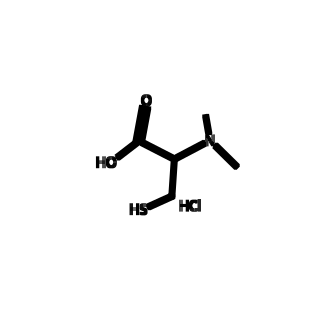 CN(C)C(CS)C(=O)O.Cl